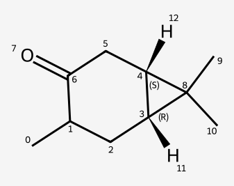 CC1C[C@@H]2[C@H](CC1=O)C2(C)C